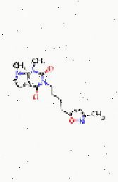 Cc1cc(CCCCn2c(=O)c3ccn(C)c3n(C)c2=O)on1